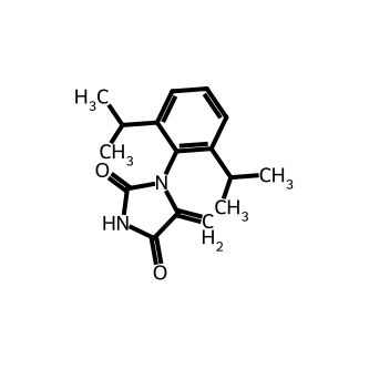 C=C1C(=O)NC(=O)N1c1c(C(C)C)cccc1C(C)C